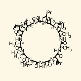 CC(C)CC[C@@H]1C(=O)N(C)[C@H](C(C)C)C(=O)N(C)[C@H]([C@@H]2OCC[C@H]2C)C(=O)N[C@@H](C)C(=O)N(C)[C@H](C)C(=O)N(C)[C@@H](CC(C)C)C(=O)N[C@H](C(C)C)C(=O)N(C)C(CC(C)C)C(=O)N[C@H](C)C(=O)N[C@@H](C)C(=O)N(C)[C@H](CC(C)C)C(=O)N1C